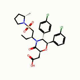 CC[C@@H](CS(=O)(=O)N1CCC[C@@H]1C)N1C(=O)[C@H](CC(=O)O)O[C@H](c2cccc(Cl)c2)[C@H]1c1ccc(Cl)cc1